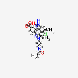 C=CC(=O)N1CC2(CC(n3nc(-c4ccc(C(=O)O)cc4)c(-c4c(Cl)c(C)cc5[nH]ncc45)c3C)C2)C1